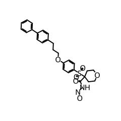 O=NNC(=O)C1(S(=O)(=O)c2ccc(OCCCc3ccc(-c4ccccc4)cc3)cc2)CCOCC1